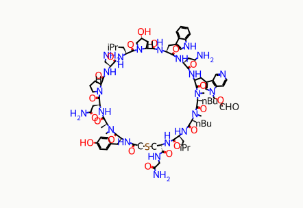 CCCC[C@H]1C(=O)N(C)[C@@H](CCCC)C(=O)N[C@@H](CC(C)C)C(=O)N[C@H](C(=O)NCC(N)=O)CSCC(=O)N[C@@H](Cc2ccc(O)cc2)C(=O)N(C)[C@@H](C)C(=O)N[C@@H](CC(N)=O)C(=O)N2CCC[C@H]2C(=O)N[C@@H](CN)C(=O)N[C@@H](CC(C)C)C(=O)N2C[C@H](O)C[C@H]2C(=O)N[C@@H](Cc2c[nH]c3ccccc23)C(=O)N[C@@H](CCN)C(=O)NC(Cc2cn(COC=O)c3ccncc23)C(=O)N1C